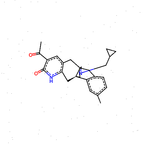 CC(=O)c1cc2c([nH]c1=O)C[C@@]13CCN(CC4CC4)CC1(Cc1ccc(C)cc13)C2